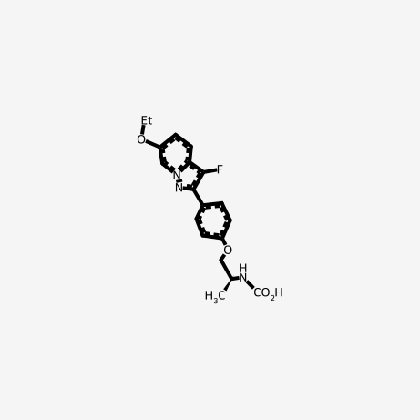 CCOc1ccc2c(F)c(-c3ccc(OC[C@H](C)NC(=O)O)cc3)nn2c1